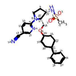 CS(=O)(=O)N[C@H]1CCN(c2ccc(C#N)cn2)[C@H]1COC1CCC(c2ccccc2)CC1